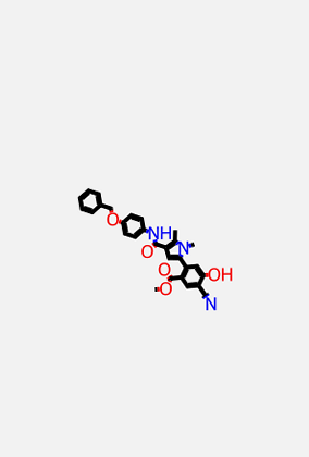 COC(=O)c1cc(C#N)c(O)cc1-c1cc(C(=O)Nc2ccc(OCc3ccccc3)cc2)c(C)n1C